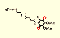 CCCCCCCCCCCCCCCCCCCCC1=C(C)C(=O)C(OC)=C(OC)C1=O